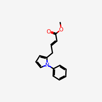 COC(=O)/C=C/Cc1cccn1-c1ccccc1